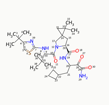 CC(C)(C)c1csc(N[C@H](C(=O)N2CC3(C[C@H]2C(=O)NC(CC2CCC2)C(=O)C(N)=O)CC3(C)C)C(C)(C)C)n1